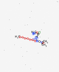 COCCOCCOCCOCCOCCOCCOc1nn([C@H]2CC[C@H](N3C[C@@H](C)O[C@@H](C)C3)CC2)cc1Nc1ncc(-c2ccc(Cl)c(O[C@@H](C)Cn3cnnn3)c2)cn1